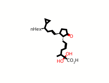 CCCCCC[C@H](C/C=C/[C@H]1CCC(=O)[C@@H]1C/C=C\CC(C)C(O)(O)C(=O)O)C1CC1